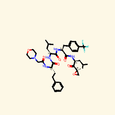 CC(C)C[C@H](NC(=O)[C@H](CCc1ccccc1)NC(=O)CN1CCOCC1)C(=O)N[C@@H](Cc1ccc(C(F)(F)F)cc1)C(=O)N[C@@H](CC(C)C)C(=O)[C@@]1(C)CO1